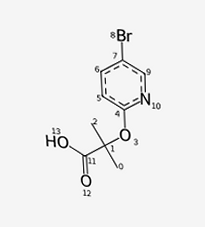 CC(C)(Oc1ccc(Br)cn1)C(=O)O